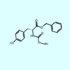 CC(C)(C)OC(=O)N[C@H](Cc1ccc(O)cc1)C(=O)OCc1ccccc1